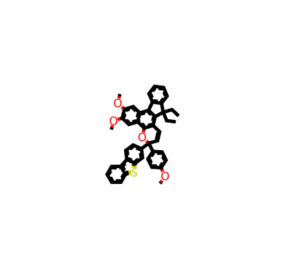 CCC1(CC)c2ccccc2-c2c1c1c(c3cc(OC)c(OC)cc23)OC(c2ccc(OC)cc2)(c2ccc3c(c2)sc2ccccc23)C=C1